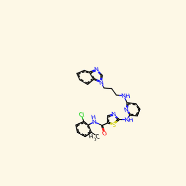 Cc1cccc(Cl)c1NC(=O)c1cnc(Nc2cccc(NCCCn3cnc4ccccc43)n2)s1